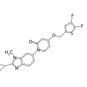 Cn1c(C2CC2)nc2ccc(-n3ccc(OCc4cc(F)c(F)s4)cc3=O)cc21